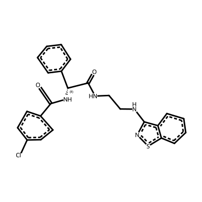 O=C(N[C@@H](C(=O)NCCNc1nsc2ccccc12)c1ccccc1)c1ccc(Cl)cc1